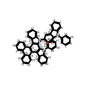 c1ccc(-n2c3ccccc3c3cc(-n4c5ccccc5c5c6c7ccccc7c7ccccc7c6c6c7ccccc7n(-c7ccccc7)c6c54)ccc32)cc1